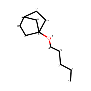 CCCCCOC12CCC(CC1)C2